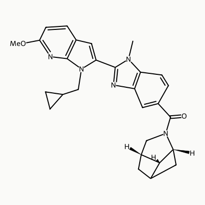 COc1ccc2cc(-c3nc4cc(C(=O)N5C[C@H]6CC7C[C@@H]5[C@H]76)ccc4n3C)n(CC3CC3)c2n1